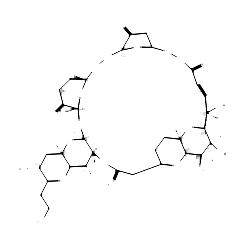 C=C1CC2CCC(=O)/C=C/[C@H](O)[C@@H]3O[C@H]4CCC(CC(=O)O[C@H]5[C@H](C[C@H]6O[C@@H](CC[C@@H]1O2)C[C@@H](C)C6=C)O[C@H]1C[C@@H](O)C(CCO)OC1[C@@H]5C)O[C@@H]4[C@H](O)[C@@H]3O